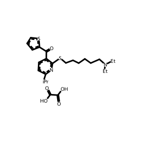 CCN(CC)CCCCCCSc1nc(C(C)C)ccc1C(=O)c1cccs1.O=C(O)C(=O)O